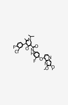 COc1cc2nccc(Oc3ccc(NC(=O)c4cn(C(C)C)c(C)c(-c5ccc(F)c(Cl)c5)c4=O)cc3F)c2nc1OC